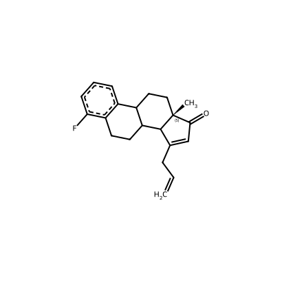 C=CCC1=CC(=O)[C@@]2(C)CCC3c4cccc(F)c4CCC3C12